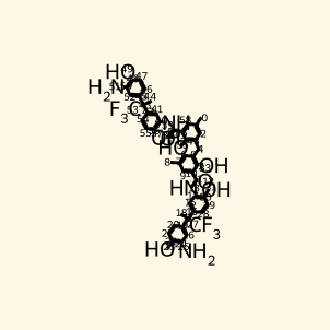 Cc1cc(Cc2cc(C)cc(C(=O)Nc3cc(C(C)(c4ccc(O)c(N)c4)C(F)(F)F)ccc3O)c2O)c(O)c(C(=O)Nc2cc(C(C)(c3ccc(O)c(N)c3)C(F)(F)F)ccc2O)c1